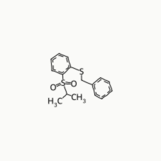 CC(C)S(=O)(=O)c1ccccc1SCc1ccccc1